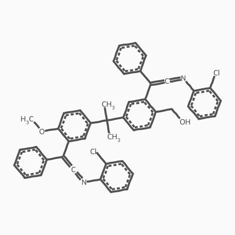 COc1ccc(C(C)(C)c2ccc(CO)c(C(=C=Nc3ccccc3Cl)c3ccccc3)c2)cc1C(=C=Nc1ccccc1Cl)c1ccccc1